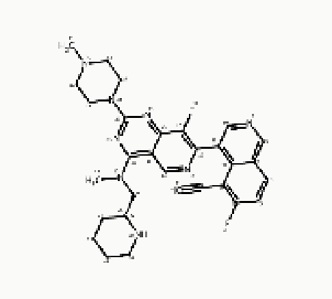 C#Cc1c(F)ccc2cncc(-c3ncc4c(N(C)C[C@@H]5CCCCN5)nc(N5CCN(C)CC5)nc4c3F)c12